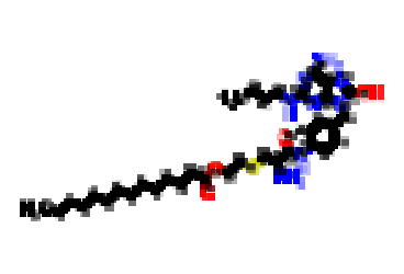 CCCCCCCCCCCCCC(=O)OCCSCC(N)C(=O)Nc1ccc(Cn2c(O)nc3c(N)nc(NCCCC)nc32)cc1